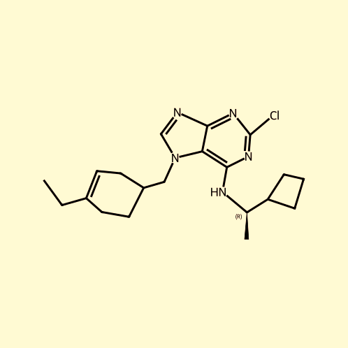 CCC1=CCC(Cn2cnc3nc(Cl)nc(N[C@H](C)C4CCC4)c32)CC1